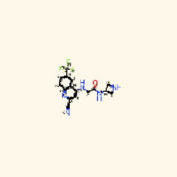 N#Cc1cc(NCC(=O)NC2CNC2)c2cc(C(F)(F)F)ccc2n1